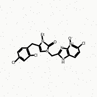 CCn1c(Cc2ccc(Cl)cc2Cl)cn(Cc2nc3c(ccc(Cl)[n+]3[O-])[nH]2)c1=O